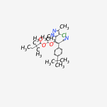 CCC(C)(C)C(=O)OC(C)O/C(=C(/C#N)c1ccc(C(C)(C)C)cc1)c1c(Cl)c(C)nn1C